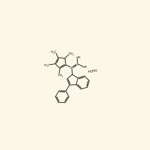 CCC[Si](CCC)=[Zr]([C]1=C(C)C(C)=C(C)C1C)[CH]1C=C(c2ccccc2)c2ccccc21.Cl.Cl